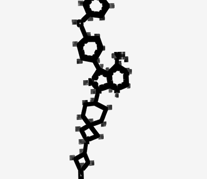 Nc1ncnc2c1c(-c1ccc(Oc3ccccc3)cc1)nn2C1CCC2(CC1)CN(C1CNC1)C2